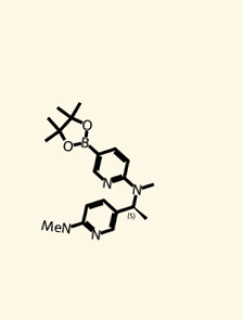 CNc1ccc([C@H](C)N(C)c2ccc(B3OC(C)(C)C(C)(C)O3)cn2)cn1